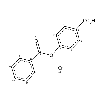 O=C(O)c1ccc(OC(=O)c2ccccc2)cc1.[Cr]